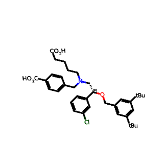 CC(C)(C)c1cc(CO[C@@H](CN(CCCCC(=O)O)Cc2ccc(C(=O)O)cc2)c2cccc(Cl)c2)cc(C(C)(C)C)c1